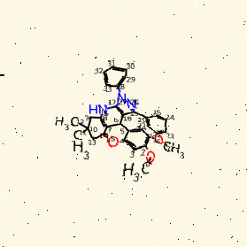 COc1ccc(C2C3=C(CC(C)(C)CC3=O)Nc3c2c(-c2ccccc2)nn3-c2ccccc2)cc1OC